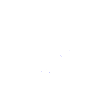 CN(c1cccc(C(=O)c2cc(Br)cnc2N)n1)C1CCCCC1